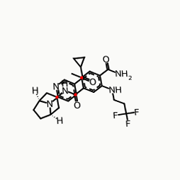 Cc1cc(C(N)=O)c(NCCC(F)(F)F)cc1C(=O)N[C@H]1C[C@H]2CC[C@@H](C1)N2c1ccc(C(=O)C2CC2)cn1